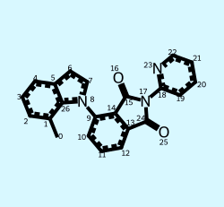 Cc1cccc2ccn(-c3cccc4c3C(=O)N(c3ccccn3)C4=O)c12